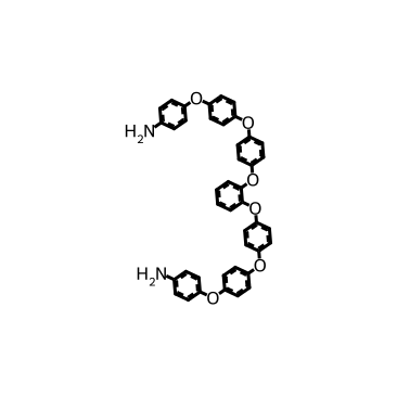 Nc1ccc(Oc2ccc(Oc3ccc(Oc4ccccc4Oc4ccc(Oc5ccc(Oc6ccc(N)cc6)cc5)cc4)cc3)cc2)cc1